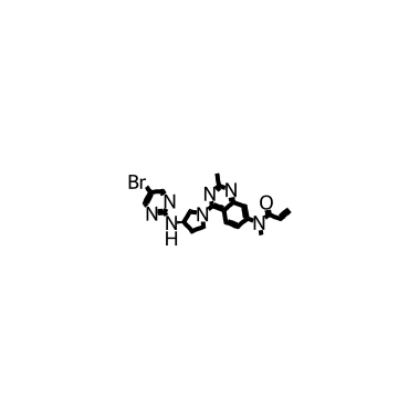 C=CC(=O)N(C)c1ccc2c(N3CC[C@@H](Nc4ncc(Br)cn4)C3)nc(C)nc2c1